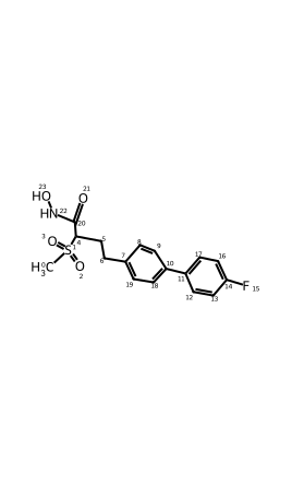 CS(=O)(=O)C(CCc1ccc(-c2ccc(F)cc2)cc1)C(=O)NO